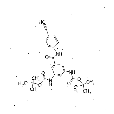 C#Cc1ccc(NC(=O)c2cc(NC(=O)OC(C)(C)C)cc(NC(=O)OC(C)(C)C)c2)cc1